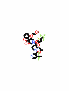 CCC[C@H]1N(C(=O)c2cnccc2C(C)(F)F)CCC[C@@]1(Oc1csc(C(F)(F)F)c1)C(=O)N1CCC(C(=O)O)(c2ccccc2OCCOC)CC1